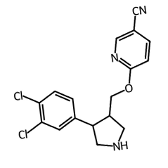 N#Cc1ccc(OCC2CNCC2c2ccc(Cl)c(Cl)c2)nc1